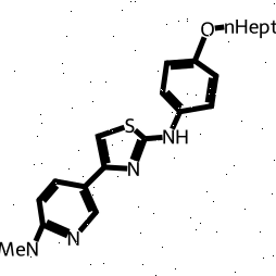 CCCCCCCOc1ccc(Nc2nc(-c3ccc(NC)nc3)cs2)cc1